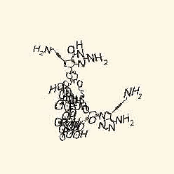 NCC#CC1=CC([C@H]2CC(OCSSCOC3C[C@H](n4cc(C#CCN)c5c(N)ncnc54)O[C@@H]3COP(=O)(O)OP(=O)(O)OP(=O)(O)O)[C@@H](COP(=O)(O)OP(=O)(O)OP(=O)(O)O)O2)c2nc(N)[nH]c(=O)c21